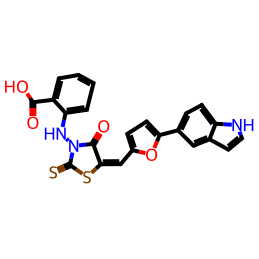 O=C(O)c1ccccc1NN1C(=O)/C(=C\c2ccc(-c3ccc4[nH]ccc4c3)o2)SC1=S